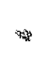 CC(=O)N(C(=O)c1ccccc1)c1ccccc1S(=O)(=O)O